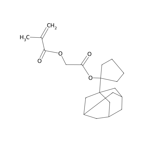 C=C(C)C(=O)OCC(=O)OC1(C23CC4CC(CC(C4)C2)C3)CCCC1